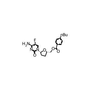 CCCCc1ccc(C(=O)OC[C@@H]2CC[C@H](n3cc(F)c(N)nc3=O)O2)cc1